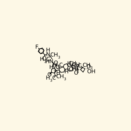 CC(C)C1=C2[C@H]3CC[C@@H]4[C@@]5(C)CC[C@H](OC(=O)[C@H]6C[C@@H](C(=O)O)C6(C)C)C(C)(C)[C@@H]5CC[C@@]4(C)[C@]3(C)CC[C@@]2(CC(=O)NCC(C)(C)NC(=O)c2ccc(F)cc2)CC1=O